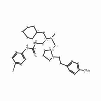 COc1ccc(CCN2CCC[C@@H]2CN(C)[C@@H](CNC(=O)Nc2ccc(I)cc2)CC2CCCCC2)cc1